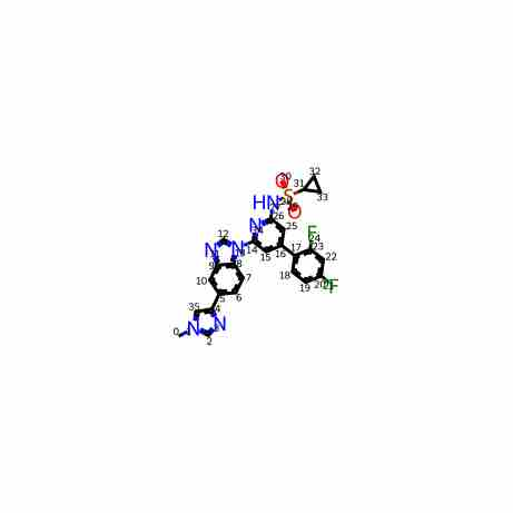 Cn1cnc(-c2ccc3c(c2)ncn3-c2cc(-c3ccc(F)cc3F)cc(NS(=O)(=O)C3CC3)n2)c1